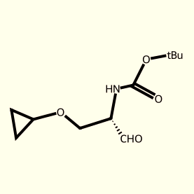 CC(C)(C)OC(=O)N[C@H](C=O)COC1CC1